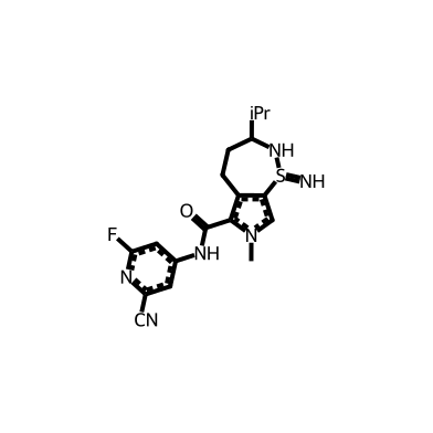 CC(C)C1CCc2c(cn(C)c2C(=O)Nc2cc(F)nc(C#N)c2)S(=N)N1